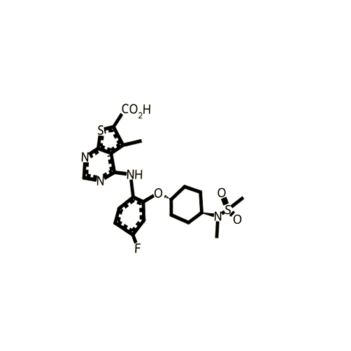 Cc1c(C(=O)O)sc2ncnc(Nc3ccc(F)cc3O[C@H]3CC[C@H](N(C)S(C)(=O)=O)CC3)c12